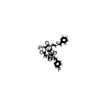 CC(C)[C@H]1C(=O)N(CCSCc2ccccc2)C[C@H]2N1C(=O)CN(C)N2C(=O)NCc1ccc(F)cc1